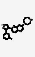 Cc1cccc(-c2n[nH]cc2-c2ccc3ncc(N4CCCNCC4)cc3n2)n1